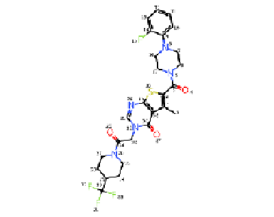 Cc1c(C(=O)N2CCN(c3ccccc3F)CC2)sc2ncn(CC(=O)N3CCC(C(F)(F)F)CC3)c(=O)c12